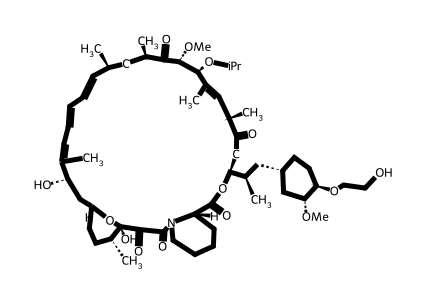 CO[C@@H]1C[C@H](C[C@@H](C)[C@@H]2CC(=O)[C@H](C)/C=C(\C)[C@@H](OC(C)C)[C@@H](OC)C(=O)[C@H](C)C[C@H](C)/C=C/C=C/C=C(\C)[C@@H](O)C[C@@H]3CC[C@@H](C)[C@@](O)(O3)C(=O)C(=O)N3CCCC[C@H]3C(=O)O2)CC[C@H]1OCCO